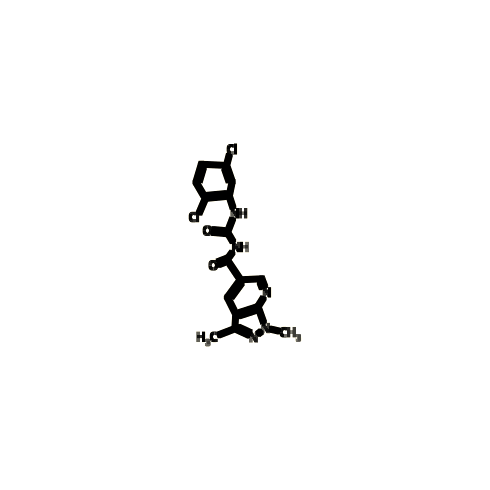 Cc1nn(C)c2ncc(C(=O)NC(=O)Nc3cc(Cl)ccc3Cl)cc12